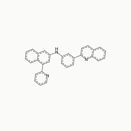 c1ccc(-c2cc(Nc3cccc(-c4ccc5ccccc5n4)c3)cc3ccccc23)nc1